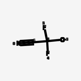 N#CC([O])(F)F